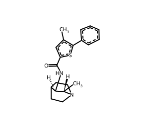 Cc1cc(C(=O)N[C@@H]2C3CCN(CC3)[C@H]2C)sc1-c1ccccc1